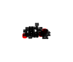 CC[Si](CC)(CC)OC[C@]12CCC(=O)C=C1C(C)C[C@@H]1[C@H]2CC[C@]2(C)C(=O)CC[C@@H]12